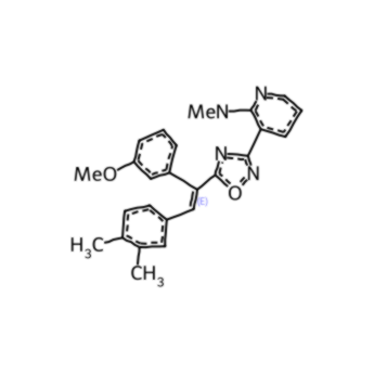 CNc1ncccc1-c1noc(/C(=C/c2ccc(C)c(C)c2)c2cccc(OC)c2)n1